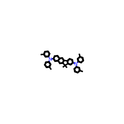 Cc1cccc(N(c2cccc(C)c2)c2ccc3c(c2)C(C)(C)c2cc4cc(N(c5cccc(C)c5)c5cccc(C)c5)ccc4cc2-3)c1